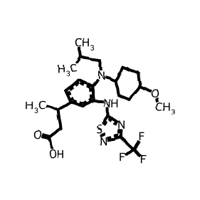 COC1CCC(N(CC(C)C)c2ccc(C(C)CC(=O)O)cc2Nc2nc(C(F)(F)F)ns2)CC1